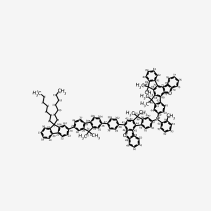 CCCCCCCC1(CCCCCCC)c2ccccc2-c2ccc(-c3ccc4c(c3)C(C)(C)c3cc(-c5ccc(-c6cc7c(c8c6oc6ccccc68)-c6ccc(N(c8ccc9c(c8)C(C)(C)c8c%10c(c%11c(oc%12ccccc%12%11)c8-9)-c8ccccc8C%10(C)C)c8ccccc8C)cc6C7(C)C)cc5)ccc3-4)cc21